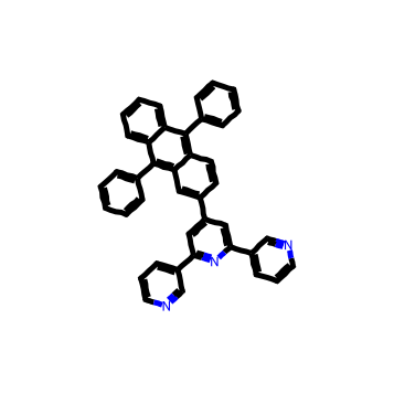 c1ccc(-c2c3ccccc3c(-c3ccccc3)c3cc(-c4cc(-c5cccnc5)nc(-c5cccnc5)c4)ccc23)cc1